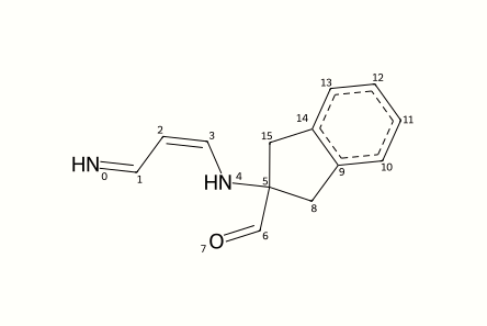 N=C/C=C\NC1(C=O)Cc2ccccc2C1